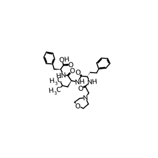 CC(C)C[C@H](NC(=O)[C@H](CCc1ccccc1)NC(=O)CN1CCOCC1)C(=O)N[C@@H](Cc1ccccc1)C(=O)O